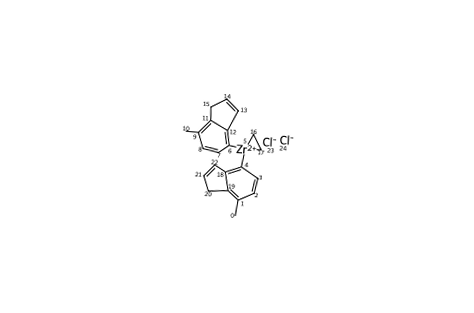 Cc1cc[c]([Zr+2]2([c]3ccc(C)c4c3C=CC4)[CH2][CH2]2)c2c1CC=C2.[Cl-].[Cl-]